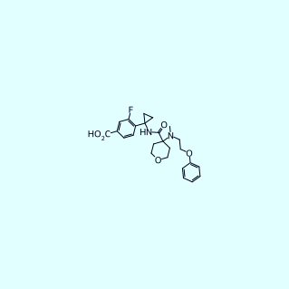 CN(CCOc1ccccc1)C1(C(=O)NC2(c3ccc(C(=O)O)cc3F)CC2)CCOCC1